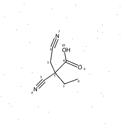 CCC(C#N)(CC#N)C(=O)O